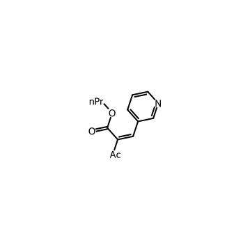 CCCOC(=O)C(=Cc1cccnc1)C(C)=O